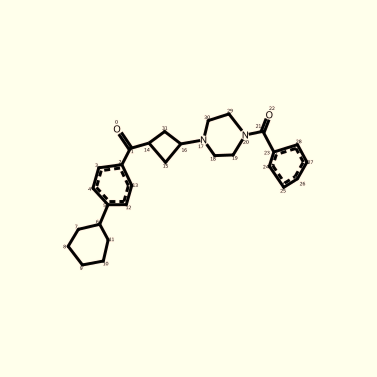 O=C(c1ccc(C2CCCCC2)cc1)C1CC(N2CCN(C(=O)c3ccccc3)CC2)C1